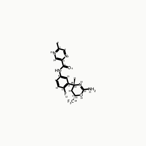 Cc1cnc(C(=O)Nc2ccc(F)c([C@@]3(C)C[C@@H](C(F)(F)F)OC(N)=N3)c2)cn1